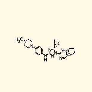 CN1CCN(c2ccc(Nc3nc(N)n(-c4ncc5c(n4)C4CCC5C4)n3)cc2)CC1